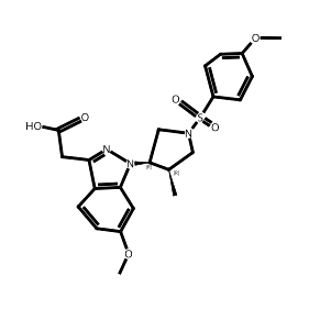 COc1ccc(S(=O)(=O)N2C[C@@H](C)[C@@H](n3nc(CC(=O)O)c4ccc(OC)cc43)C2)cc1